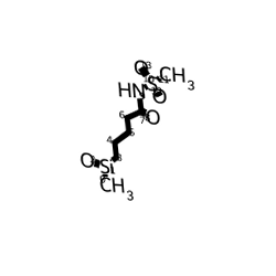 C[Si](=O)CCCCC(=O)NS(C)(=O)=O